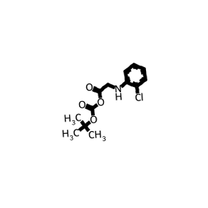 CC(C)(C)OC(=O)OC(=O)CNc1ccccc1Cl